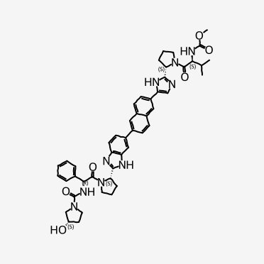 COC(=O)N[C@H](C(=O)N1CCC[C@H]1c1ncc(-c2ccc3cc(-c4ccc5nc([C@@H]6CCCN6C(=O)[C@H](NC(=O)N6CC[C@H](O)C6)c6ccccc6)[nH]c5c4)ccc3c2)[nH]1)C(C)C